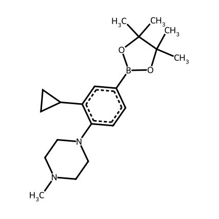 CN1CCN(c2ccc(B3OC(C)(C)C(C)(C)O3)cc2C2CC2)CC1